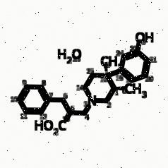 C[C@H]1CN(CC(Cc2ccccc2)C(=O)O)CC[C@@]1(C)c1cccc(O)c1.O